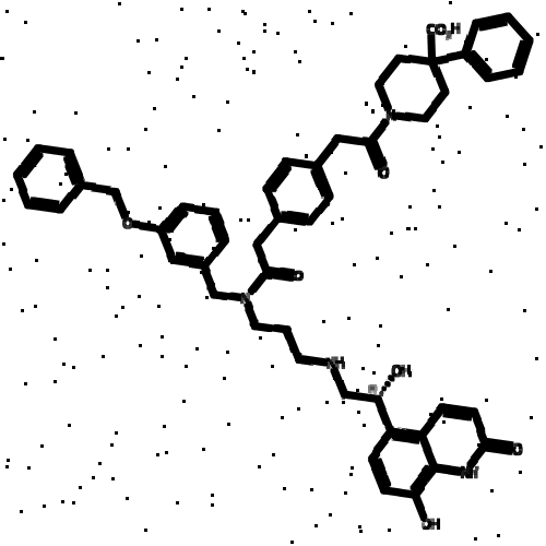 O=C(Cc1ccc(CC(=O)N(CCCNC[C@H](O)c2ccc(O)c3[nH]c(=O)ccc23)Cc2cccc(OCc3ccccc3)c2)cc1)N1CCC(C(=O)O)(c2ccccc2)CC1